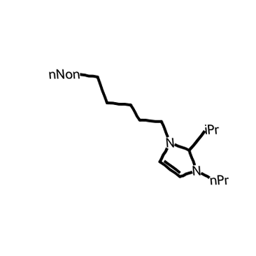 CCCCCCCCCCCCCCN1C=CN(CCC)C1C(C)C